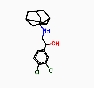 OC(CNC12CC3CC(CC(C3)C1)C2)c1ccc(Cl)c(Cl)c1